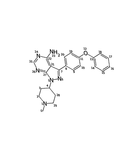 CN1CCC(n2nc(-c3ccc(Oc4ccccc4)cc3)c3c(N)ncnc32)CC1